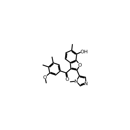 COc1cc(C(=O)c2c(-c3cncn3C)oc3c(O)c(C)ccc23)cc(C)c1C